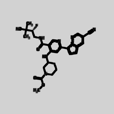 COC(=O)N1CCCC(Nc2cc(-c3ccc4cc(C#N)cnn34)ncc2C(=O)NC[C@@H](F)C(C)(C)O)C1